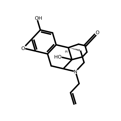 C=CCN1CC[C@]23CC(=O)CCC2(O)C1Cc1c3cc(O)c2c1O2